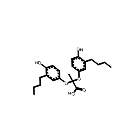 CCCCc1cc(OC(C)(Oc2ccc(O)c(CCCC)c2)C(=O)O)ccc1O